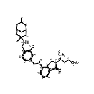 CC1CC2CC(C1)CC(C)(NCc1ccc(CSc3cccc4c3CN(C(C=O)CCC=O)C4=O)cc1Cl)C2